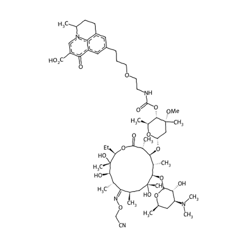 CC[C@H]1OC(=O)[C@H](C)[C@@H](O[C@H]2C[C@@](C)(OC)[C@@H](OC(=O)NCCOCCCc3cc4c5c(c3)c(=O)c(C(=O)O)cn5C(C)CC4)[C@H](C)O2)[C@H](C)[C@@H](OC2O[C@H](C)C[C@H](N(C)C)[C@H]2O)[C@](C)(O)C[C@@H](C)/C(=N\OCC#N)[C@H](C)[C@@H](O)[C@]1(C)O